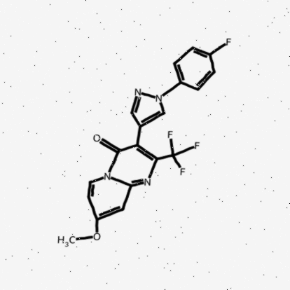 COc1ccn2c(=O)c(-c3cnn(-c4ccc(F)cc4)c3)c(C(F)(F)F)nc2c1